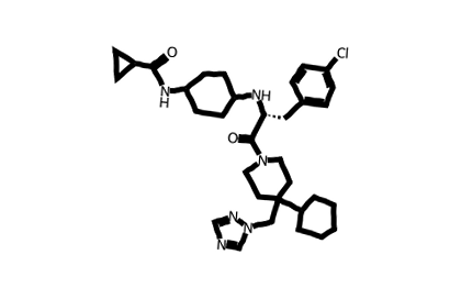 O=C(NC1CCC(N[C@H](Cc2ccc(Cl)cc2)C(=O)N2CCC(Cn3cncn3)(C3CCCCC3)CC2)CC1)C1CC1